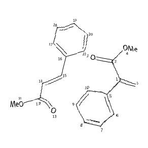 C=C(C(=O)OC)c1ccccc1.COC(=O)C=Cc1ccccc1